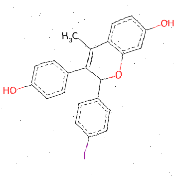 CC1=C(c2ccc(O)cc2)C(c2ccc(I)cc2)Oc2cc(O)ccc21